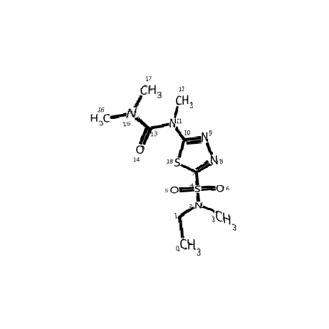 CCN(C)S(=O)(=O)c1nnc(N(C)C(=O)N(C)C)s1